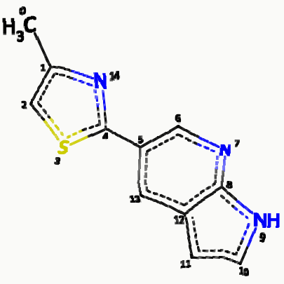 Cc1csc(-c2cnc3[nH]ccc3c2)n1